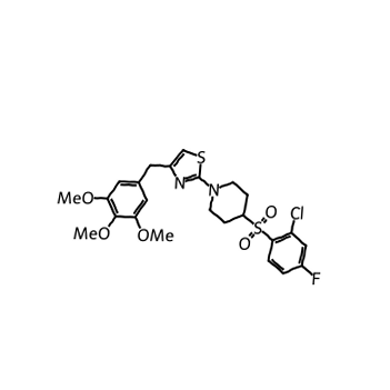 COc1cc(Cc2csc(N3CCC(S(=O)(=O)c4ccc(F)cc4Cl)CC3)n2)cc(OC)c1OC